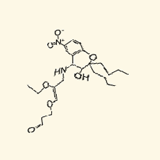 CCCCC1(CCCC)Oc2ccc([N+](=O)[O-])cc2C(NC/C(=C/OCCC=O)OCC)C1O